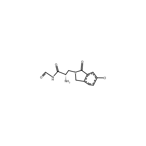 N[C@@H](CN1Cc2ccc(Cl)cc2C1=O)C(=O)NC=O